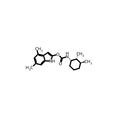 Cc1cc(C)c2cc(OC(=O)N[C@H]3CCC[C@H](C)[C@H]3C)[nH]c2c1